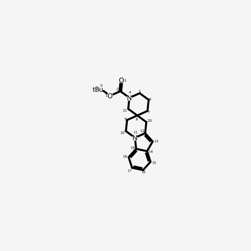 CC(C)(C)OC(=O)N1CCCC2(CCn3c(cc4ccccc43)C2)C1